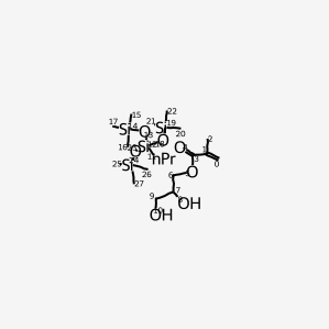 C=C(C)C(=O)OCC(O)CO.CCC[Si](O[Si](C)(C)C)(O[Si](C)(C)C)O[Si](C)(C)C